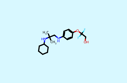 CC(C)(CNc1ccc(OC(F)(F)CO)cc1)NC1CCCCC1